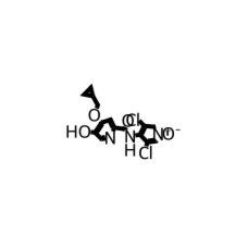 O=C(Nc1c(Cl)c[n+]([O-])cc1Cl)c1cc(OCC2CC2)c(O)cn1